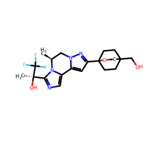 C[C@H]1Cn2nc(C34CCC(CO)(CC3)CO4)cc2-c2cnc([C@@](C)(O)C(F)(F)F)n21